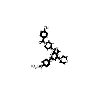 N#Cc1ccc(C(=O)N2CCC(n3ncc4c(N5CCOCC5)nc(-c5ccc(NC(=O)O)cc5)nc43)CC2)cc1